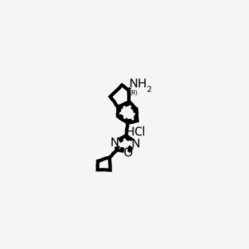 Cl.N[C@@H]1CCc2cc(-c3noc(C4CCC4)n3)ccc21